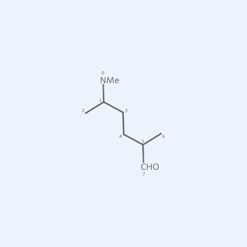 CNC(C)CCC(C)C=O